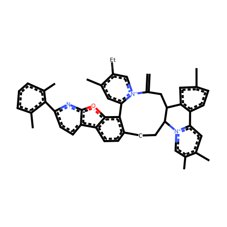 C=C1CC2c3cc(C)ccc3-c3cc(C)c(C)c[n+]3C2CCc2ccc3c(oc4nc(-c5c(C)cccc5C)ccc43)c2-c2cc(C)c(CC)c[n+]21